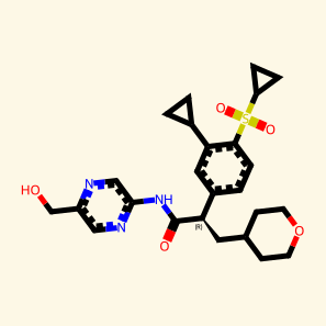 O=C(Nc1cnc(CO)cn1)[C@H](CC1CCOCC1)c1ccc(S(=O)(=O)C2CC2)c(C2CC2)c1